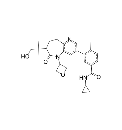 Cc1ccc(C(=O)NC2CC2)cc1-c1cnc2c(c1)N(C1COC1)C(=O)C(C(C)(C)CO)CC2